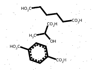 CC(O)C(=O)O.O=C(O)CCCCC(=O)O.O=C(O)c1ccc(C(=O)O)cc1